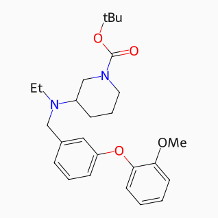 CCN(Cc1cccc(Oc2ccccc2OC)c1)C1CCCN(C(=O)OC(C)(C)C)C1